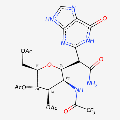 CC(=O)OC[C@H]1O[C@@H](C(C(N)=O)c2nc3[nH]cnc3c(=O)[nH]2)[C@@H](NC(=O)C(F)(F)F)[C@@H](OC(C)=O)[C@@H]1OC(C)=O